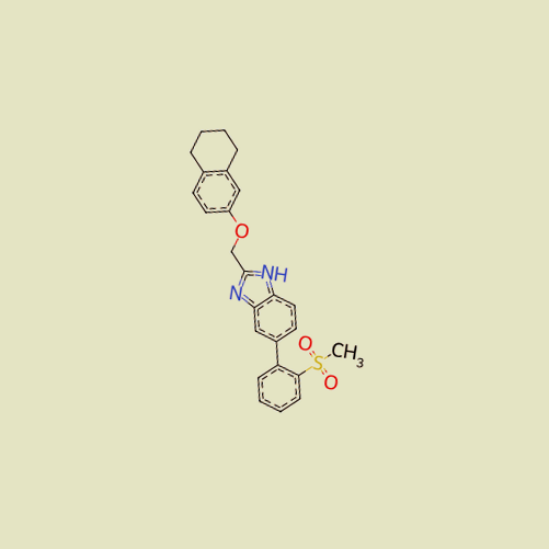 CS(=O)(=O)c1ccccc1-c1ccc2[nH]c(COc3ccc4c(c3)CCCC4)nc2c1